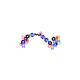 COc1cc(N2CCC(N3CCN(C(=O)CCCCN4CCN(c5ccc6c(c5)C(=O)N(C5CCC(=O)NC5=O)C6=O)CC4)CC3)CC2)ccc1Nc1ncc(Cl)c(Nc2ccccc2P(C)(C)=O)n1